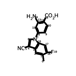 Cc1cc2c(C#N)cn(-c3ccc(C(=O)O)c(N)c3)c2cc1F